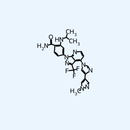 CC(C)Nc1cc(-n2nc(C(F)(F)F)c3c(-n4cnc(-c5cnn(C)c5)c4)ccnc32)ccc1C(N)=O